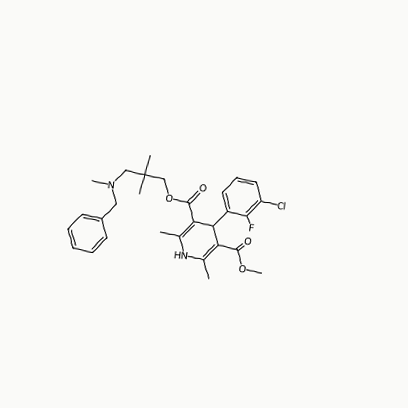 COC(=O)C1=C(C)NC(C)=C(C(=O)OCC(C)(C)CN(C)Cc2ccccc2)C1c1cccc(Cl)c1F